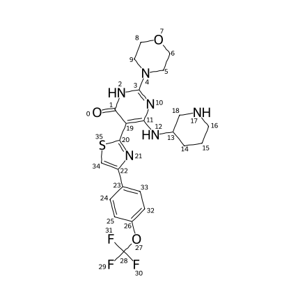 O=c1[nH]c(N2CCOCC2)nc(NC2CCCNC2)c1-c1nc(-c2ccc(OC(F)(F)F)cc2)cs1